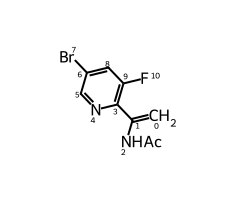 C=C(NC(C)=O)c1ncc(Br)cc1F